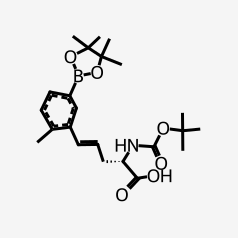 Cc1ccc(B2OC(C)(C)C(C)(C)O2)cc1/C=C/C[C@H](NC(=O)OC(C)(C)C)C(=O)O